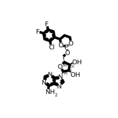 Nc1ncnc2c1ncn2[C@@H]1O[C@H](COP2OCCC(c3cc(F)c(F)cc3Cl)O2)[C@@H](O)[C@H]1O